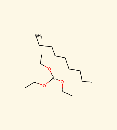 CCCCCCCC[SiH3].CC[O][Al]([O]CC)[O]CC